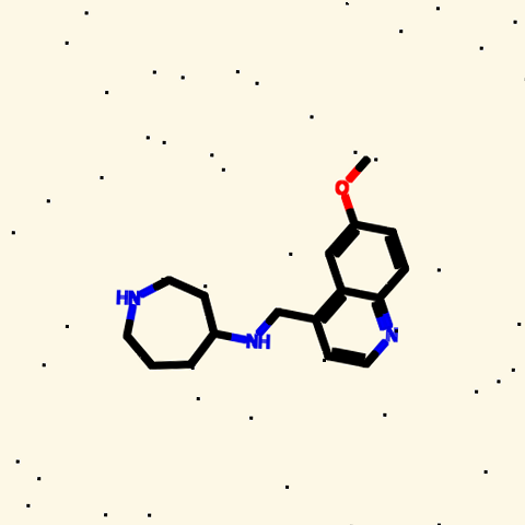 COc1ccc2nccc(CNC3CCCNCC3)c2c1